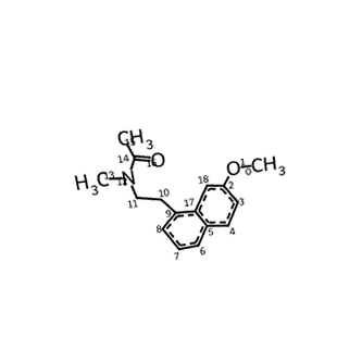 COc1ccc2cccc(CCN(C)C(C)=O)c2c1